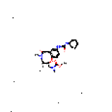 CC(C)N1C[C@@H](C)[C@H](CN(C)C(=O)OC(C)(C)C)Oc2ccc(NC(=O)NC3CCCCC3)cc2CC1=O